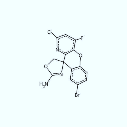 NC1=NC2(CO1)c1cc(Br)ccc1Oc1c(F)cc(Cl)nc12